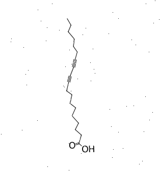 CCCCCCC#CC#CCCCCCCCCC(=O)O